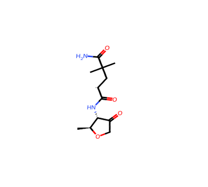 C[C@@H]1OCC(=O)[C@H]1NC(=O)[CH]CC(C)(C)C(N)=O